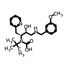 COc1cccc(CNC[C@H](O)[C@H](Cc2ccccn2)N(C(=O)O)C(C)(C)C)c1